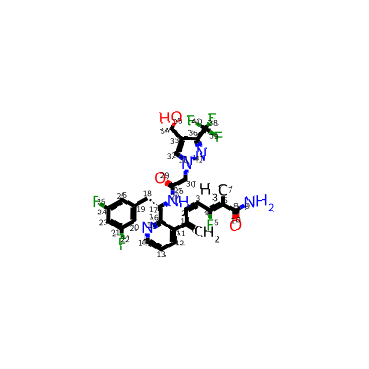 C=C(/C=C\C(F)=C(/C)C(N)=O)c1cccnc1[C@H](Cc1cc(F)cc(F)c1)NC(=O)Cn1cc(CO)c(C(F)(F)F)n1